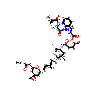 COC(=O)C[C@@H]1C[C@@]2(CO2)C[C@@H](/C=C/C(C)=C/C[C@@H]2O[C@H](C)[C@H](NC(=O)/C=C\[C@H](C)OC(=O)CCc3ccccc3NC(=O)[C@H](C)NC(=O)[C@@H](C)C(C)C)C[C@@H]2C)O1